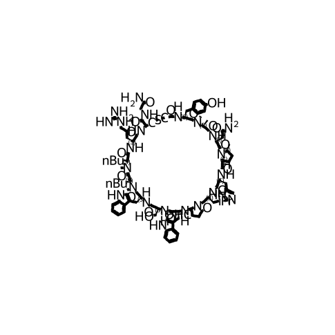 CCCC[C@H]1C(=O)N(C)[C@@H](CCCC)C(=O)N[C@@H](CCCNC(=N)N)C(=O)NC(C(=O)NCC(N)=O)CSCC(=O)N[C@@H](Cc2ccc(O)cc2)C(=O)N(C)[C@@H](C)C(=O)N[C@@H](CC(N)=O)C(=O)N2[C@@H](C)CC[C@H]2C(=O)N[C@@H](Cc2cnc[nH]2)C(=O)N[C@@H](CC(C)C)C(=O)N2CCCC2(C=O)N[C@@H](Cc2c[nH]c3ccccc23)C(=O)N[C@@H](CO)C(=O)N[C@@H](Cc2c[nH]c3ccccc23)C(=O)N1C